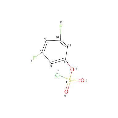 O=S(=O)(Cl)Oc1cc(F)cc(F)c1